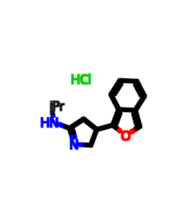 CC(C)NC1=NCC(c2occ3ccccc23)C1.Cl